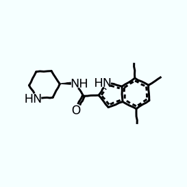 Cc1cc(C)c2cc(C(=O)N[C@@H]3CCCNC3)[nH]c2c1C